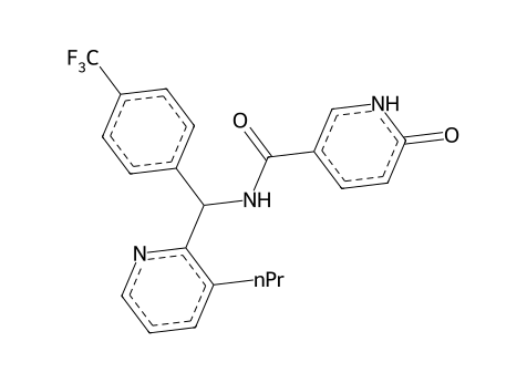 CCCc1cccnc1C(NC(=O)c1ccc(=O)[nH]c1)c1ccc(C(F)(F)F)cc1